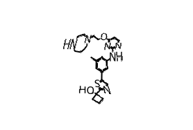 Cc1cc(Nc2nccc(OCCN3CCCNCC3)n2)cc(-c2cnc(C3(O)CCC3)s2)c1